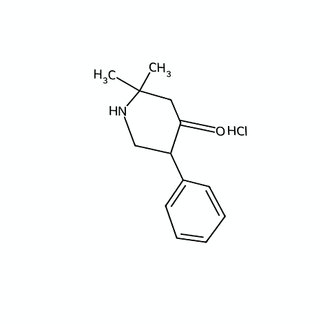 CC1(C)CC(=O)C(c2ccccc2)CN1.Cl